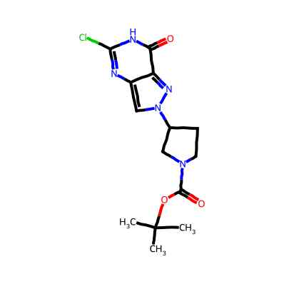 CC(C)(C)OC(=O)N1CCC(n2cc3nc(Cl)[nH]c(=O)c3n2)C1